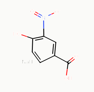 O=C(O)c1ccc(O)c([N+](=O)[O-])c1.[NaH]